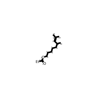 CCC(=O)OCCCCCC(C)C=C(C)C